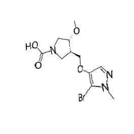 CO[C@H]1CN(C(=O)O)C[C@@H]1COc1cnn(C)c1Br